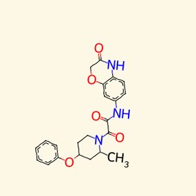 CC1CC(Oc2ccccc2)CCN1C(=O)C(=O)Nc1ccc2c(c1)OCC(=O)N2